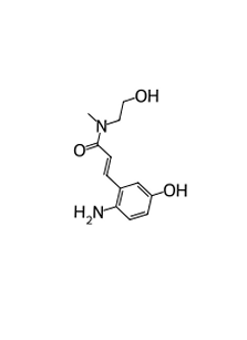 CN(CCO)C(=O)C=Cc1cc(O)ccc1N